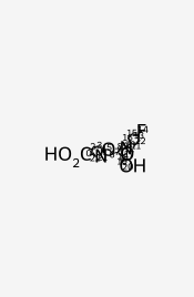 O=C(O)c1ccc(OCC2=CN(c3ccc(F)cc3)OC2CO)nc1